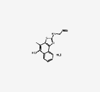 C=CCNc1nc2c(s1)c(C)c(O)c1ccccc12.Cl